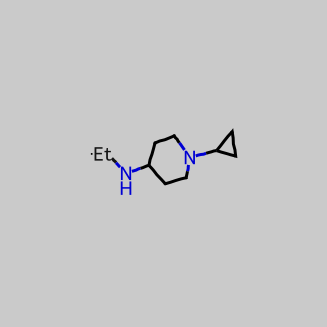 C[CH]NC1CCN(C2CC2)CC1